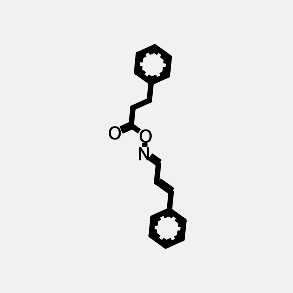 O=C(CCc1ccccc1)ON=CC=Cc1ccccc1